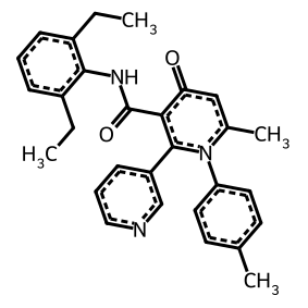 CCc1cccc(CC)c1NC(=O)c1c(-c2cccnc2)n(-c2ccc(C)cc2)c(C)cc1=O